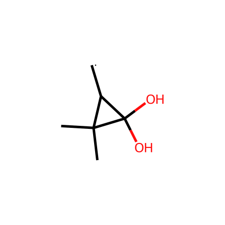 [CH2]C1C(C)(C)C1(O)O